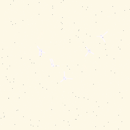 CN1CCN(C(=O)c2ccc(NC(=O)C3CC3)nc2N2CCCC(F)(F)C2)C(c2ccccc2)C1